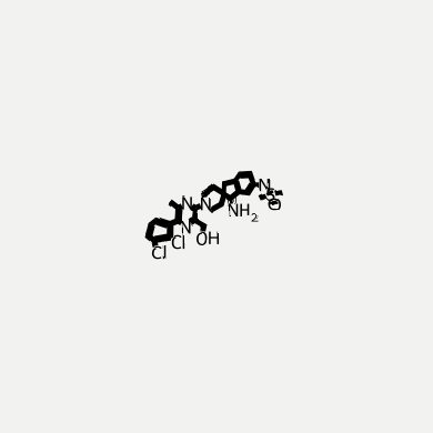 Cc1nc(N2CCC3(CC2)Cc2ccc(N=S(C)(C)=O)cc2[C@H]3N)c(CO)nc1-c1cccc(Cl)c1Cl